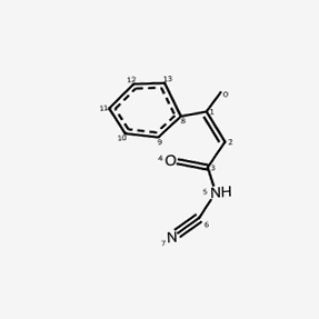 C/C(=C/C(=O)NC#N)c1ccccc1